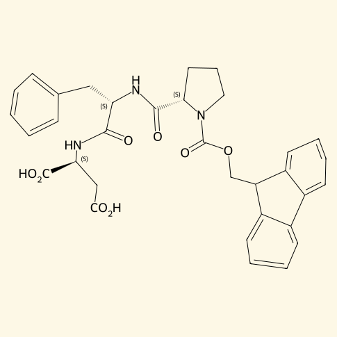 O=C(O)C[C@H](NC(=O)[C@H](Cc1ccccc1)NC(=O)[C@@H]1CCCN1C(=O)OCC1c2ccccc2-c2ccccc21)C(=O)O